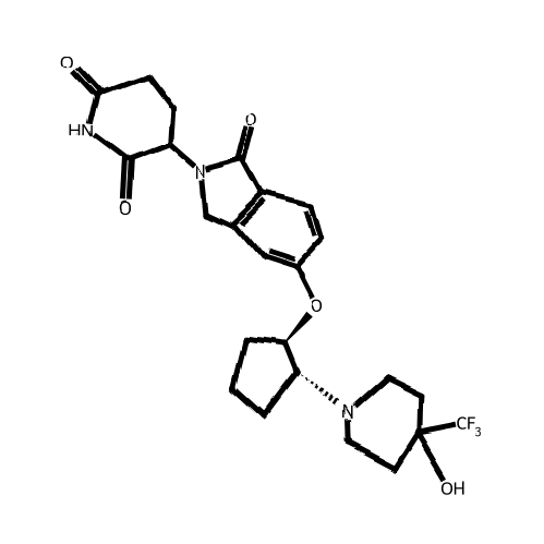 O=C1CCC(N2Cc3cc(O[C@@H]4CCC[C@H]4N4CCC(O)(C(F)(F)F)CC4)ccc3C2=O)C(=O)N1